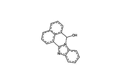 OC1c2cccc3cccc(c23)-c2nc3ccccc3n21